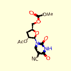 COC(=O)OC[C@@H]1C[C@@H](OC(C)=O)[C@H](n2cc(C#N)c(=O)[nH]c2=O)O1